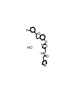 Cl.O=C(Cc1ccncc1)NCc1cnc(Oc2ccc3c(c2)CCC(c2cccc(F)c2)O3)s1